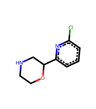 Clc1cccc(C2CNCCO2)n1